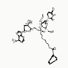 CO[C@H]1[C@@H](OP(=O)(OC[C@H]2O[C@@H](n3cnc4c(N)ncnc43)C[C@H]2O)SCCCCCOC(=O)c2ccccc2)[C@@H](CO)O[C@H]1n1ccc(=O)[nH]c1=O